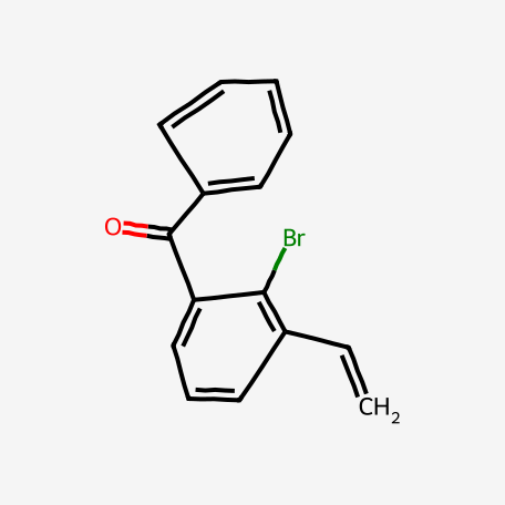 C=Cc1cccc(C(=O)c2ccccc2)c1Br